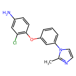 Cc1nccn1-c1cccc(Oc2ccc(N)cc2Cl)c1